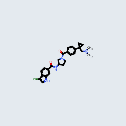 CN(C)CC1(c2ccc(C(=O)N3CCC(NC(=O)c4ccc5c(Cl)c[nH]c5c4)C3)cc2)CC1